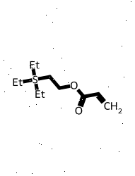 C=CC(=O)OCCS(CC)(CC)CC